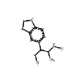 CCNC(C)C(CCl)c1ccc2c(c1)CCS2